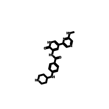 CNc1cncc(-c2c[nH]c(=O)c(NC(=O)c3ccc(NC4CCNCC4)cc3)c2)n1